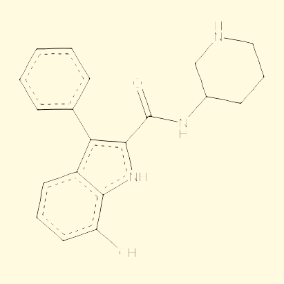 Cc1cccc2c(-c3ccccc3)c(C(=O)NC3CCCNC3)[nH]c12